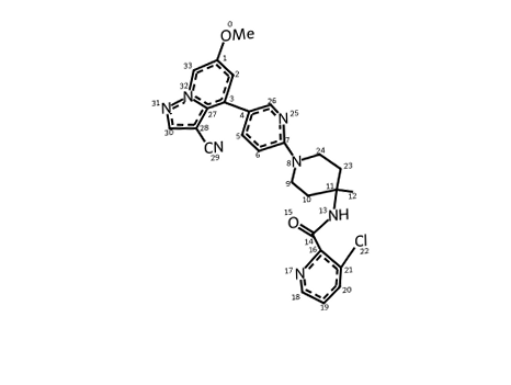 COc1cc(-c2ccc(N3CCC(C)(NC(=O)c4ncccc4Cl)CC3)nc2)c2c(C#N)cnn2c1